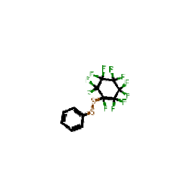 FC1(F)C(F)(F)C(F)(F)C(F)(SSc2ccccc2)C(F)(F)C1(F)F